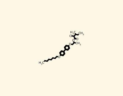 CCCCCCCCOc1ccc(-c2ccc(OCC(C)OC(=O)C(Cl)C(C)CC)cc2)cc1